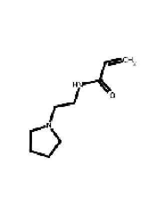 C=CC(=O)NCCN1CCCC1